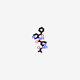 CC(C)C(=O)Nc1cc(C(=O)Nc2cnccc2C(=O)c2ccccc2)ccn1